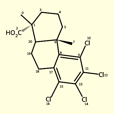 C[C@@]1(C(=O)O)CCC[C@]2(C)c3c(Cl)c(Cl)c(Cl)c(Cl)c3CCC12